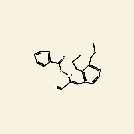 CCCc1cccc(C=C(C=O)NOC(=O)c2ccccc2)c1CCC